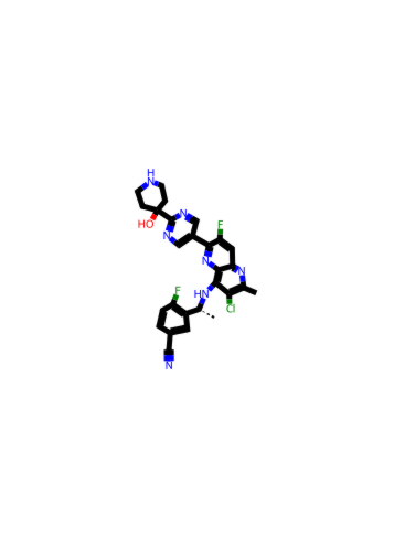 Cc1nc2cc(F)c(-c3cnc(C4(O)CCNCC4)nc3)nc2c(N[C@H](C)c2cc(C#N)ccc2F)c1Cl